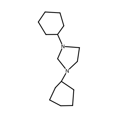 C1CCC(N2CCN(C3CCCCC3)C2)CC1